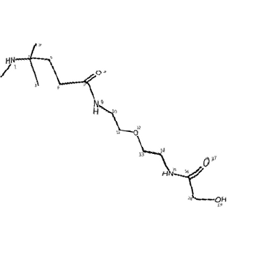 CNC(C)(C)CCC(=O)NCCOCCNC(=O)CO